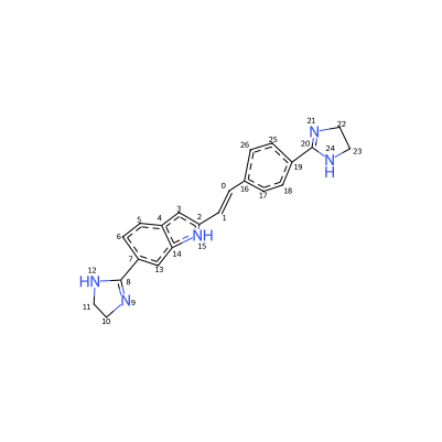 C(=C\c1cc2ccc(C3=NCCN3)cc2[nH]1)/c1ccc(C2=NCCN2)cc1